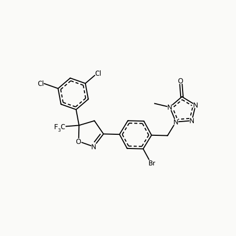 Cn1c(=O)nnn1Cc1ccc(C2=NOC(c3cc(Cl)cc(Cl)c3)(C(F)(F)F)C2)cc1Br